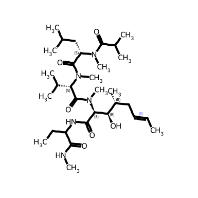 C/C=C/C[C@@H](C)[C@@H](O)[C@@H](C(=O)NC(CC)C(=O)NC)N(C)C(=O)[C@H](C(C)C)N(C)C(=O)[C@H](CC(C)C)N(C)C(=O)C(C)C